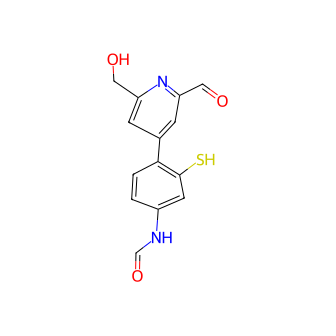 O=CNc1ccc(-c2cc(C=O)nc(CO)c2)c(S)c1